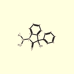 CC(=O)N(C)N1C(=O)C(O)(c2ccccc2)c2ccccc21